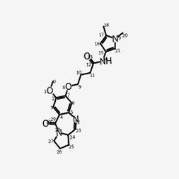 COc1cc2c(cc1OCCCC(=O)Nc1cc(C)n(C)c1)N=CC1CCCN1C2=O